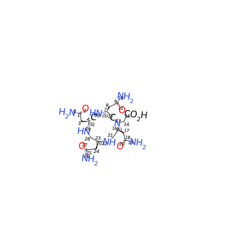 NC(=O)C[C@H]1CN[C@@H](CC(N)=O)CN(CC(=O)O)[C@@H](CC(N)=O)CN[C@@H](CC(N)=O)CN1